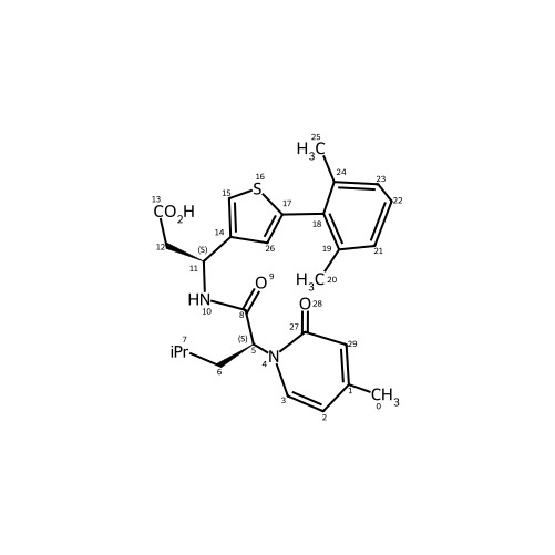 Cc1ccn([C@@H](CC(C)C)C(=O)N[C@@H](CC(=O)O)c2csc(-c3c(C)cccc3C)c2)c(=O)c1